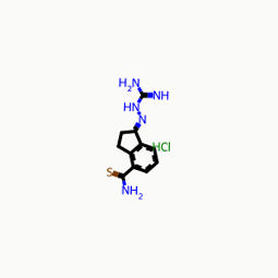 Cl.N=C(N)NN=C1CCc2c(C(N)=S)cccc21